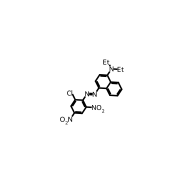 CCN(CC)c1ccc(N=Nc2c(Cl)cc([N+](=O)[O-])cc2[N+](=O)[O-])c2ccccc12